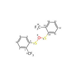 FC(F)(F)c1ccccc1SOSc1ccccc1C(F)(F)F